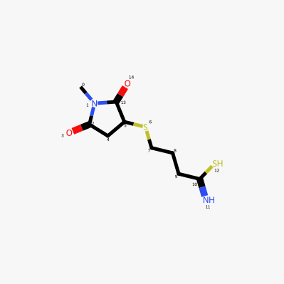 CN1C(=O)CC(SCCCC(=N)S)C1=O